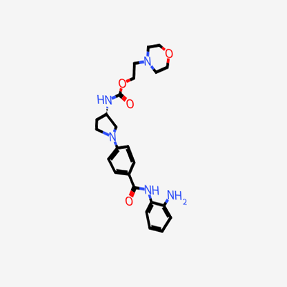 Nc1ccccc1NC(=O)c1ccc(N2CC[C@H](NC(=O)OCCN3CCOCC3)C2)cc1